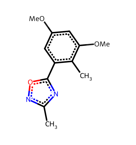 COc1cc(OC)c(C)c(-c2nc(C)no2)c1